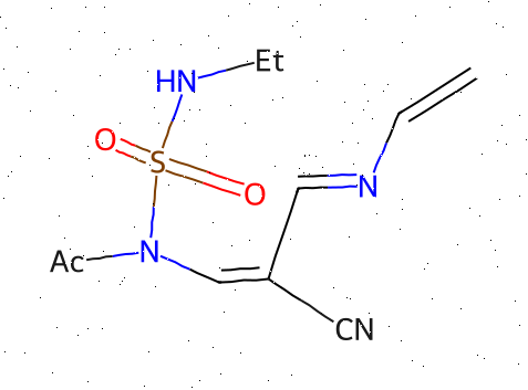 C=C/N=C/C(C#N)=C\N(C(C)=O)S(=O)(=O)NCC